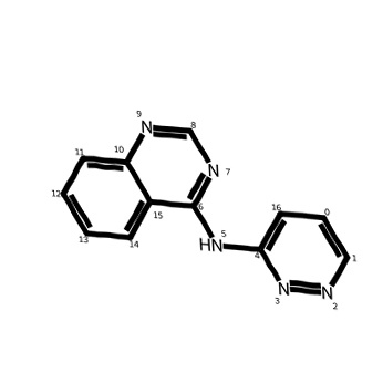 c1cnnc(Nc2ncnc3ccccc23)c1